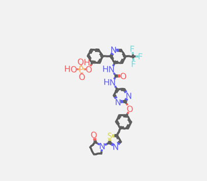 O=C(Nc1cnc(Oc2ccc(-c3cnc(N4CCCC4=O)s3)cc2)nc1)Nc1cc(C(F)(F)F)cnc1-c1cccc(OP(=O)(O)O)c1